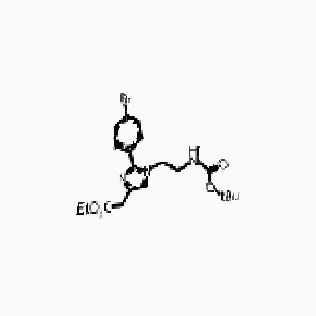 CCOC(=O)Cc1cn(CCNC(=O)OC(C)(C)C)c(-c2ccc(Br)cc2)n1